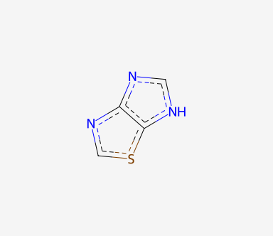 c1nc2ncsc2[nH]1